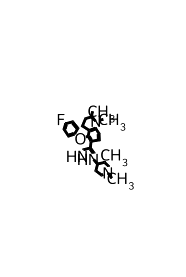 CC1CN(C)CCC1N/C=C(\C=N)c1ccc2c(c1Oc1ccc(F)cc1)CCC(C)N2C